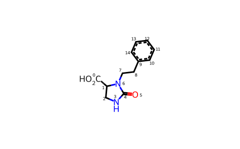 O=C(O)C1CNC(=O)N1CCc1ccccc1